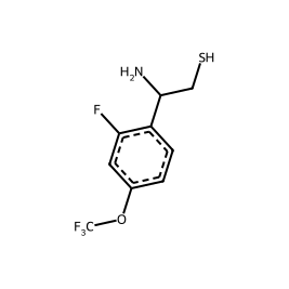 NC(CS)c1ccc(OC(F)(F)F)cc1F